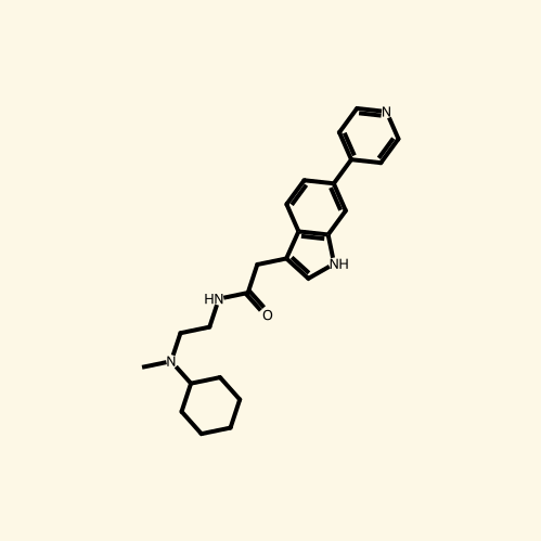 CN(CCNC(=O)Cc1c[nH]c2cc(-c3ccncc3)ccc12)C1CCCCC1